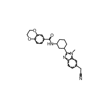 Cn1c(C2CCCC(NC(=O)c3ccc4c(c3)OCCO4)C2)nc2ccc(CC#N)cc21